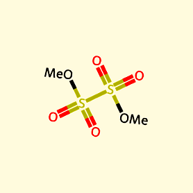 COS(=O)(=O)S(=O)(=O)OC